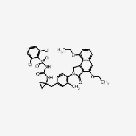 CCOc1cc2cccc(OCC)c2c2c1C(=O)N(c1ccc(CC3(NC(=O)NS(=O)(=O)c4c(Cl)cccc4Cl)CC3)cc1C)C2